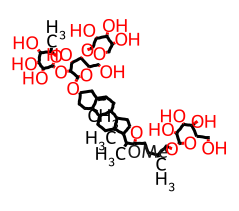 COC1(CCC(C)COC2OC(CO)C(O)C(O)C2O)OC2CC3C4CC=C5CC(OC6OC(CO)C(OC7OCC(O)C(O)C7O)C(O)C6OC6OC(C)C(O)C(O)C6O)CCC5(C)C4CCC3(C)C2C1C